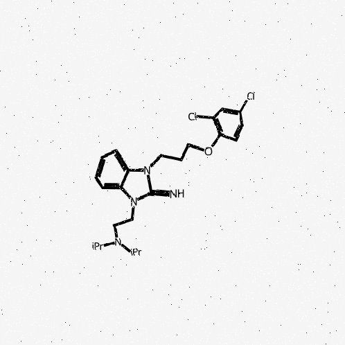 CC(C)N(CCn1c(=N)n(CCCOc2ccc(Cl)cc2Cl)c2ccccc21)C(C)C